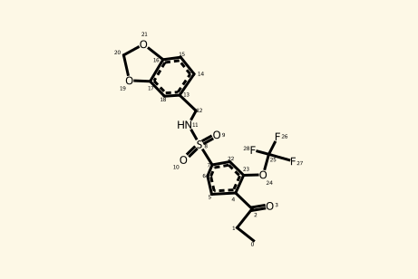 CCC(=O)c1ccc(S(=O)(=O)NCc2ccc3c(c2)OCO3)cc1OC(F)(F)F